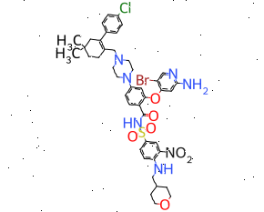 CC1(C)CCC(CN2CCN(c3ccc(C(=O)NS(=O)(=O)c4ccc(NCC5CCOCC5)c([N+](=O)[O-])c4)c(Oc4cc(N)ncc4Br)c3)CC2)=C(c2ccc(Cl)cc2)C1